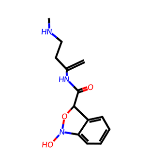 C=C(CCNC)NC(=O)C1ON(O)c2ccccc21